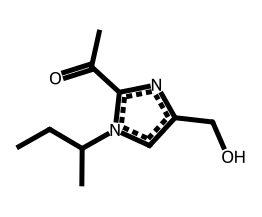 CCC(C)n1cc(CO)nc1C(C)=O